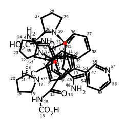 CC1(CC(N)=O)c2ccc(cc2)[C@]1(C(=O)NC(=O)O)N1CCCC1[C@@H]1CC[C@@H](C2CCCN2[C@@]2(C(=O)NC(=O)O)c3ccc(cc3)C2(C)CC(N)=O)N1c1ccc(-c2cccnc2)cc1